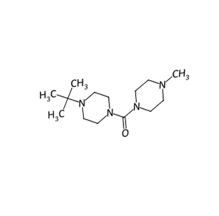 CN1CCN(C(=O)N2CCN(C(C)(C)C)CC2)CC1